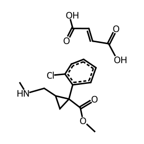 CNCC1CC1(C(=O)OC)c1ccccc1Cl.O=C(O)/C=C/C(=O)O